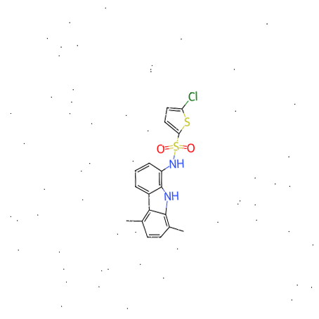 Cc1ccc(C)c2c1[nH]c1c(NS(=O)(=O)c3ccc(Cl)s3)cccc12